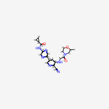 CC1CN(C(=O)CNc2cc(-c3cnc(NC(=O)C4CC4)cn3)cnc2C#N)CCO1